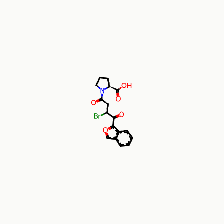 O=C(c1occ2ccccc12)C(Br)CC(=O)N1CCC[C@H]1C(=O)O